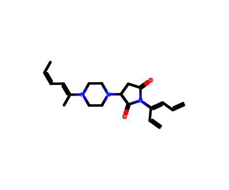 C=C/C=C(\C=C)N1C(=O)CC(N2CCN(/C(C)=C/C=C\C)CC2)C1=O